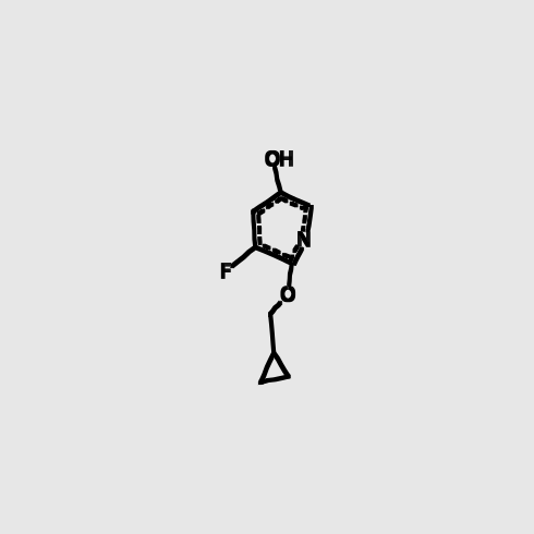 Oc1cnc(OCC2CC2)c(F)c1